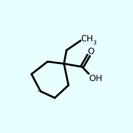 CCC1(C(=O)O)CC[CH]CC1